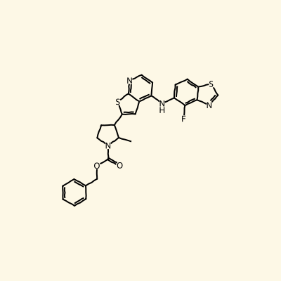 CC1C(c2cc3c(Nc4ccc5scnc5c4F)ccnc3s2)CCN1C(=O)OCc1ccccc1